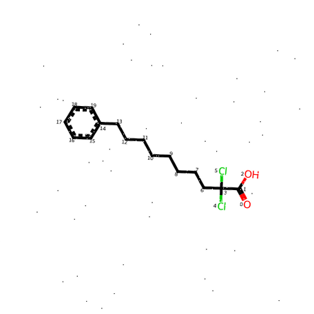 O=C(O)C(Cl)(Cl)CCCCCCCCc1ccccc1